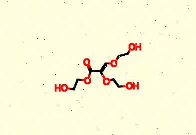 O=C(OCCO)C(=COCCO)OCCO